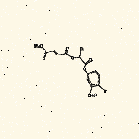 CCC(OC(=O)C=CC(=O)OC)C(=O)Oc1ccc(Br)c(C=O)c1